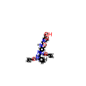 Cc1cc2c(cc1N(C)C(=O)CN1CCO[C@H](CO)C1)nc(-c1nn(COCC[Si](C)(C)C)c3c1C[C@@H]1C[C@]1(C)C3)n2COCC[Si](C)(C)C